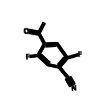 CC(=O)c1cc(F)c(C#N)cc1F